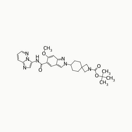 COc1cc2nn(C3CCC4(CC3)CN(C(=O)OC(C)(C)C)C4)cc2cc1C(=O)Nc1cnc2cccnn12